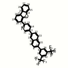 FC(F)(F)c1cc(-c2ccc3cc(-c4ccc(-c5cccc6c5oc5ccccc56)nc4)ccc3c2)cc(C(F)(F)F)c1